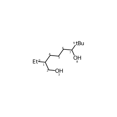 CCC(CO)CCCC(O)C(C)(C)C